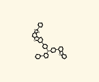 c1ccc(-c2cccc(N(c3ccc(-c4ccc5c(c4)oc4ccc6sc(-c7ccccc7)nc6c45)cc3)c3ccc(-c4cccc5c4oc4ccccc45)cc3)c2)cc1